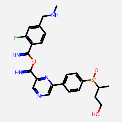 CNCc1ccc(C(=N)OC(=N)c2cncc(-c3ccc([S+]([O-])C(C)CCO)cc3)n2)c(F)c1